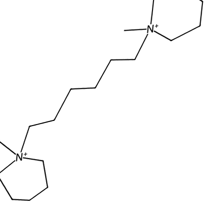 C[N+]1(CCCCCC[N+]2(C)CCCCC2)CCCCC1